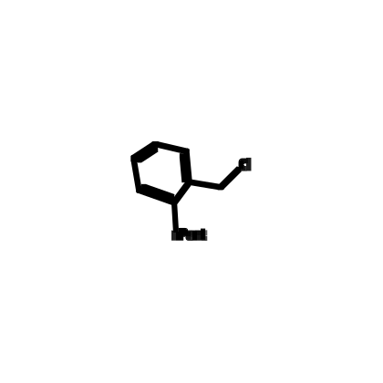 CCCCCc1ccccc1CCl